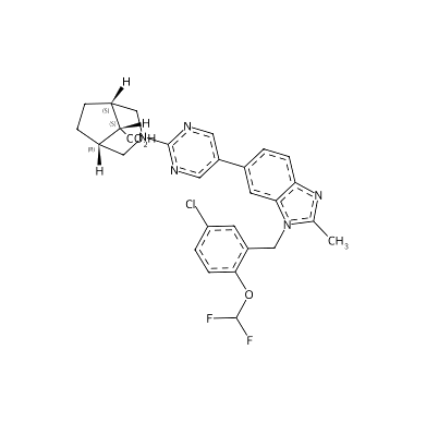 Cc1nc2ccc(-c3cnc(N4C[C@H]5CC[C@@H](C4)[C@H]5C(=O)O)nc3)cc2n1Cc1cc(Cl)ccc1OC(F)F